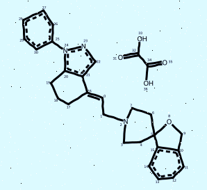 C(/CN1CCC2(CC1)OCc1ccccc12)=C1/CCCc2c1cnn2-c1ccccc1.O=C(O)C(=O)O